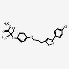 CCC(C)(Oc1ccc(OCCCc2cc(-c3ccc(Cl)cc3)no2)cc1)C(=O)OC